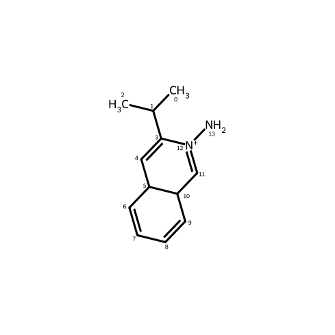 CC(C)C1=CC2C=CC=CC2C=[N+]1N